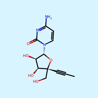 CC#C[C@]1(CO)O[C@@H](n2ccc(N)nc2=O)[C@H](O)[C@@H]1O